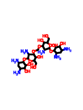 NC1CC(N)C(OC2OC(CO)C(O)C(OCOC3C(N)C(OC4C(N)CC(N)C(O)C4O)OC(CO)C3O)C2N)C(O)C1O